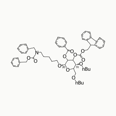 CCCCOCC1O[C@@H](OCCCCCN(Cc2ccccc2)C(=O)OCc2ccccc2)C(OC(=O)c2ccccc2)C(OC(=O)OCC2c3ccccc3-c3ccccc32)[C@H]1OCCCC